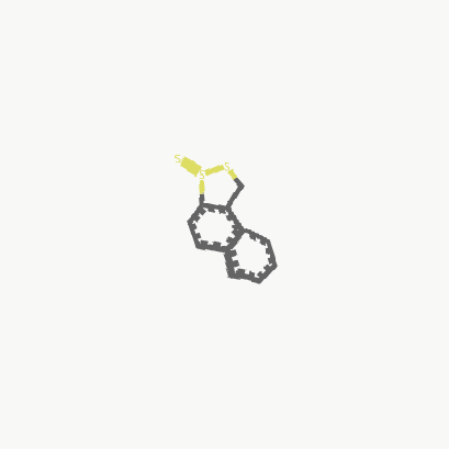 S=S1SCc2c1ccc1ccccc21